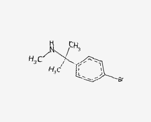 CNC(C)(C)c1ccc(Br)cc1